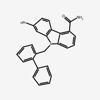 CCCc1c[c]c2c3c(C(N)=O)cccc3n(Cc3ccccc3-c3ccccc3)c2c1